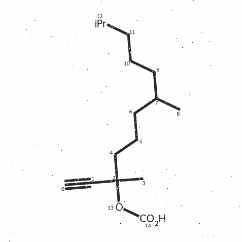 C#CC(C)(CCCC(C)CCCC(C)C)OC(=O)O